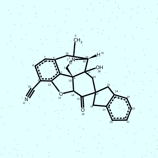 CN1CC[C@]23c4c5ccc(C#N)c4OC2C(=O)C2(Cc4ccccc4C2)CC3(O)[C@H]1C5